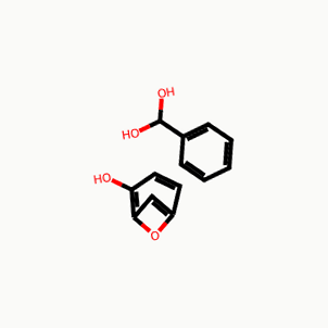 OC(O)c1ccccc1.Oc1ccc2cc1O2